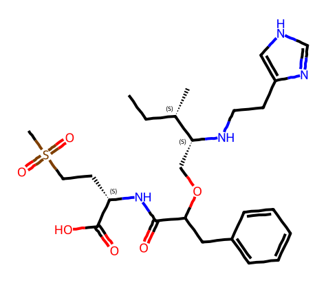 CC[C@H](C)[C@@H](COC(Cc1ccccc1)C(=O)N[C@@H](CCS(C)(=O)=O)C(=O)O)NCCc1c[nH]cn1